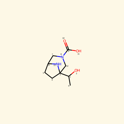 CC(O)C12CCC(CN(C(=O)O)C1)N2